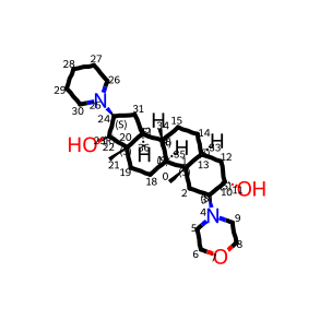 C[C@]12C[C@H](N3CCOCC3)[C@@H](O)C[C@@H]1CC[C@@H]1[C@@H]2CC[C@]2(C)[C@@H](O)[C@@H](N3CCCCC3)C[C@@H]12